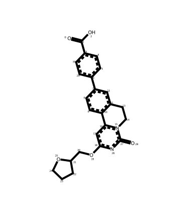 O=C(O)c1ccc(-c2ccc3c(c2)CCn2c-3cc(OCC3CCCO3)nc2=O)cc1